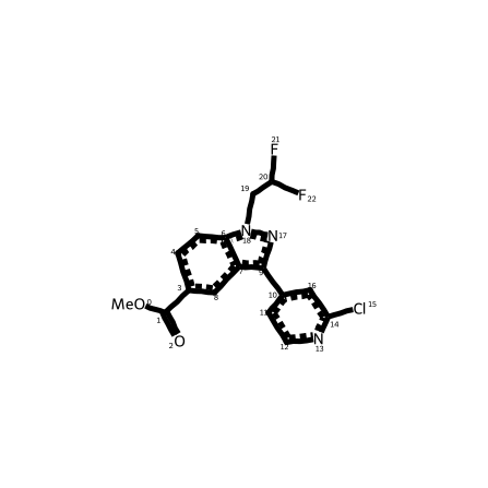 COC(=O)c1ccc2c(c1)c(-c1ccnc(Cl)c1)nn2CC(F)F